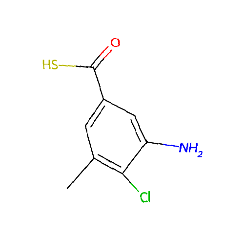 Cc1cc(C(=O)S)cc(N)c1Cl